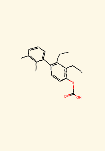 CCc1c(OC(=O)O)ccc(-c2cccc(C)c2C)c1CC